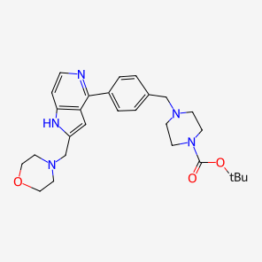 CC(C)(C)OC(=O)N1CCN(Cc2ccc(-c3nccc4[nH]c(CN5CCOCC5)cc34)cc2)CC1